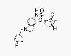 CC1(C)[C@@H]2CC[C@@]1(CS(=O)(=O)Nc1ccc3c(c1)CCN3Cc1ccc(F)cc1)C(=O)C2